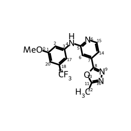 COc1cc(Nc2cc(-c3nnc(C)o3)ccn2)cc(C(F)(F)F)c1